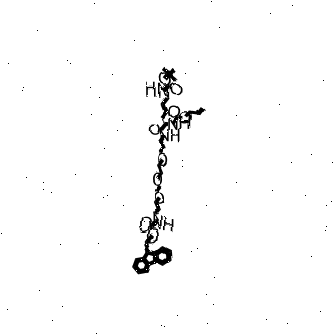 C=CCOC(=O)N[C@@H](CCCCNC(=O)OC(C)(C)C)C(=O)NCCCOCCOCCOCCCNC(=O)OCC1c2ccccc2-c2ccccc21